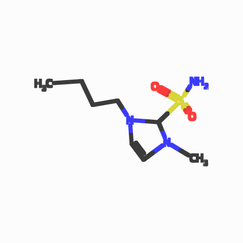 CCCCN1C=CN(C)C1S(N)(=O)=O